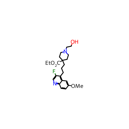 CCOC(=O)C1(CCCc2c(F)cnc3ccc(OC)cc23)CCN(CCO)CC1